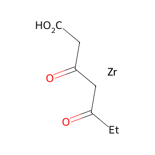 CCC(=O)CC(=O)CC(=O)O.[Zr]